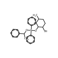 CC1CCC(C(C)C)C(O[Si](OC(C)c2ccccc2)(c2ccccc2)c2ccccc2)C1